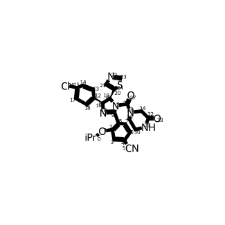 CC(C)Oc1cc(C#N)ccc1C1=N[C@@H](c2ccc(Cl)cc2)[C@@H](c2cncs2)N1C(=O)N1CCNC(=O)C1